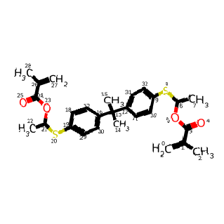 C=C(C)C(=O)OC(C)Sc1ccc(C(C)(C)c2ccc(SC(C)OC(=O)C(=C)C)cc2)cc1